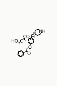 O=C(COc1ccc(CN2CCNCC2)cc1)c1ccccc1.O=C(O)SC(=O)O